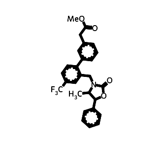 COC(=O)Cc1cccc(-c2ccc(C(F)(F)F)cc2CN2C(=O)OC(c3ccccc3)C2C)c1